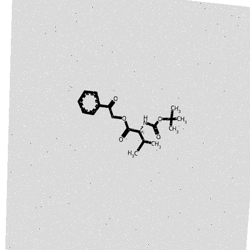 CC(C)[C@@H](NC(=O)OC(C)(C)C)C(=O)OCC(=O)c1ccccc1